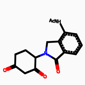 CC(=O)Nc1cccc2c1CN(C1CCC(=O)CC1=O)C2=O